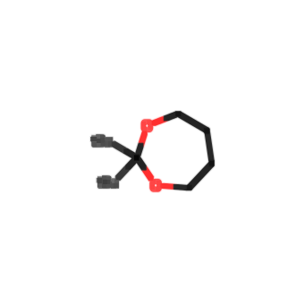 CC(C)(C)C1(C(C)(C)C)OCCCCO1